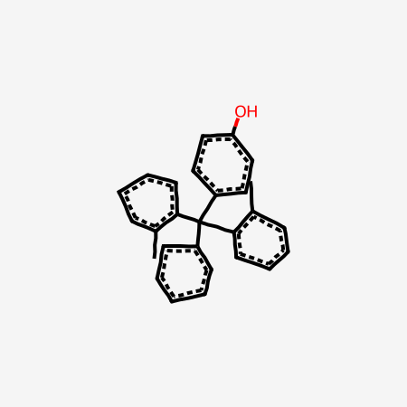 Cc1ccccc1C(c1ccccc1)(c1ccc(O)cc1)c1ccccc1C